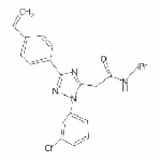 C=Cc1ccc(-c2nc(CC(=O)NC(C)C)n(-c3cccc(Cl)c3)n2)cc1